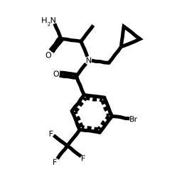 CC(C(N)=O)N(CC1CC1)C(=O)c1cc(Br)cc(C(F)(F)F)c1